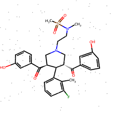 Cc1c(F)cccc1C1[C@@H](C(=O)c2cccc(O)c2)CN(CCN(C)S(C)(=O)=O)C[C@@H]1C(=O)c1cccc(O)c1